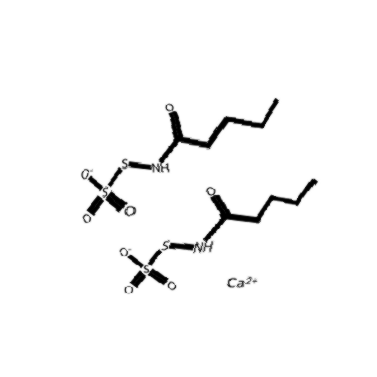 CCCCC(=O)NSS(=O)(=O)[O-].CCCCC(=O)NSS(=O)(=O)[O-].[Ca+2]